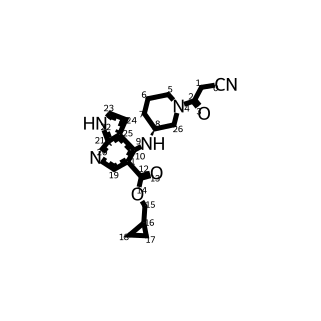 N#CCC(=O)N1CCC[C@@H](Nc2c(C(=O)OCC3CC3)cnc3[nH]ccc23)C1